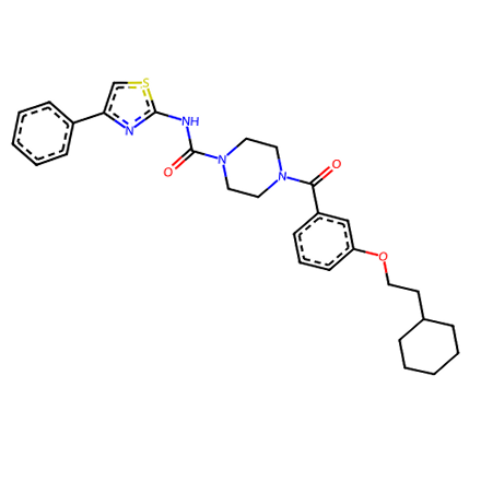 O=C(Nc1nc(-c2ccccc2)cs1)N1CCN(C(=O)c2cccc(OCCC3CCCCC3)c2)CC1